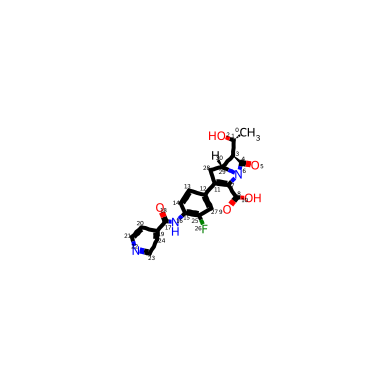 C[C@@H](O)[C@H]1C(=O)N2C(C(=O)O)=C(c3ccc(NC(=O)c4ccncc4)c(F)c3)C[C@H]12